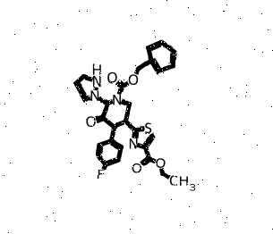 CCOC(=O)c1csc(C2CN(C(=O)OCc3ccccc3)C(N3C=CCN3)C(=O)C2c2ccc(F)cc2)n1